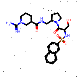 N=C(N)N1CCCC(C(=O)NCC2CCCN2C(=O)C(CO)NS(=O)(=O)c2ccc3ccccc3c2)C1